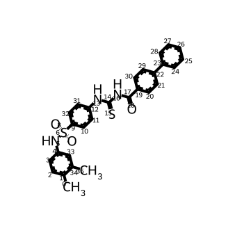 Cc1ccc(NS(=O)(=O)c2ccc(NC(=S)NC(=O)c3ccc(-c4ccccc4)cc3)cc2)cc1C